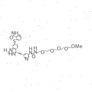 COCCOCCOCCOCCCOCCNC(=O)Nc1cncc(C#CC(=N)c2ccc(Sc3ccccc3C(N)=O)cc2N)c1